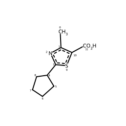 Cc1nc(C2CCCC2)sc1C(=O)O